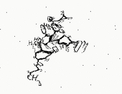 CCCCOc1ccc([C@]2(C)CC(c3ccc(C)cc3)=C(C(=O)NS(=O)(=O)C3CC3)C(=O)N2)c(Cl)c1